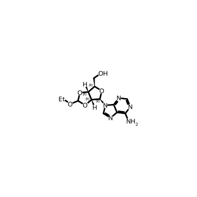 CCOC1O[C@@H]2[C@H](O1)[C@@H](CO)O[C@H]2n1cnc2c(N)ncnc21